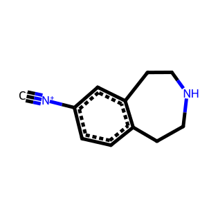 [C-]#[N+]c1ccc2c(c1)CCNCC2